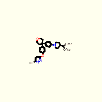 COC(OC)C1CCN(c2ccc(C3(c4ccc(Oc5ccc(C#N)nn5)cc4)CCOCC3)cc2)CC1